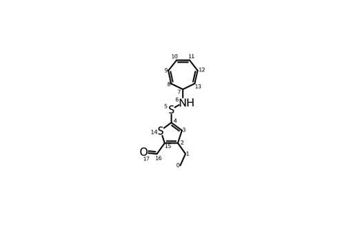 CCc1cc(SNC2C=CC=CC=C2)sc1C=O